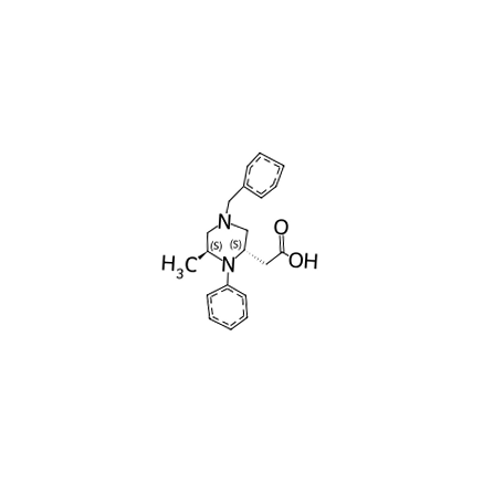 C[C@H]1CN(Cc2ccccc2)C[C@H](CC(=O)O)N1c1ccccc1